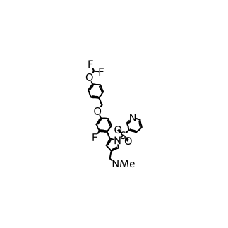 CNCc1cc(-c2ccc(OCc3ccc(OC(F)F)cc3)cc2F)n(S(=O)(=O)c2cccnc2)c1